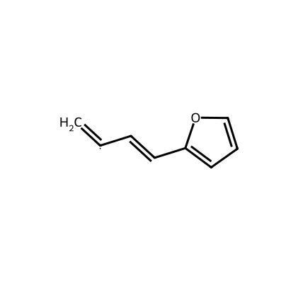 C=[C]C=Cc1ccco1